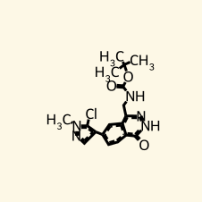 Cn1ncc(-c2ccc3c(=O)[nH]nc(CNC(=O)OC(C)(C)C)c3c2)c1Cl